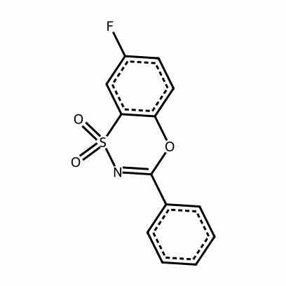 O=S1(=O)N=C(c2ccccc2)Oc2ccc(F)cc21